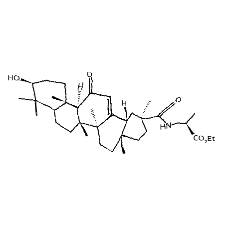 CCOC(=O)[C@H](C)NC(=O)[C@@]1(C)CC[C@]2(C)CC[C@]3(C)C(=CC(=O)[C@@H]4[C@@]5(C)CC[C@H](O)C(C)(C)C5CC[C@]43C)[C@@H]2C1